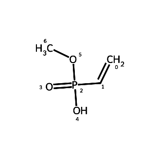 C=CP(=O)(O)OC